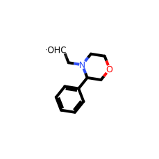 O=[C]CN1CCOCC1c1ccccc1